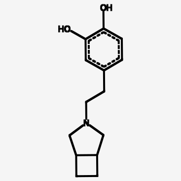 Oc1ccc(CCN2CC3CCC3C2)cc1O